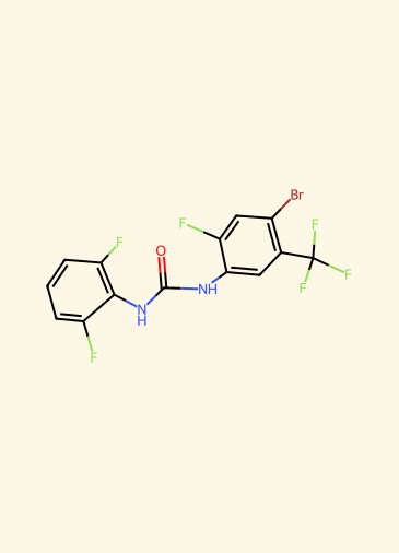 O=C(Nc1cc(C(F)(F)F)c(Br)cc1F)Nc1c(F)cccc1F